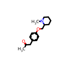 CC(=O)Cc1ccc(OCC2CCCCN2C)cc1